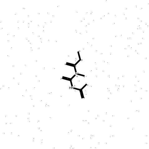 C=C(C)NC(=C)N(C)C(=C)CC